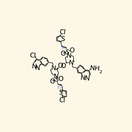 Nc1cnnc2cc(CN3CCN(S(=O)(=O)/C=C/c4ccc(Cl)s4)CC3=O)ccc12.O=C1CN(S(=O)(=O)/C=C/c2ccc(Cl)s2)CCN1Cc1ccc2c(Cl)cnnc2c1